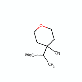 COC(C(F)(F)F)C1(C#N)CCOCC1